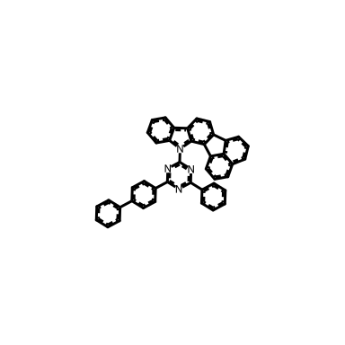 c1ccc(-c2ccc(-c3nc(-c4ccccc4)nc(-n4c5ccccc5c5ccc6c(c54)-c4cccc5cccc-6c45)n3)cc2)cc1